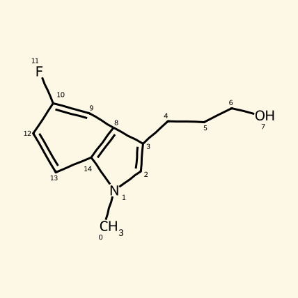 Cn1cc(CCCO)c2cc(F)ccc21